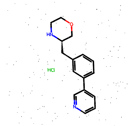 Cl.c1cncc(-c2cccc(C[C@@H]3COCCN3)c2)c1